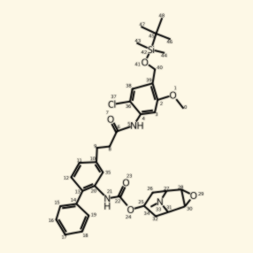 COc1cc(NC(=O)CCc2ccc(-c3ccccc3)c(NC(=O)OC3CC4C5OC5C(C3)N4C)c2)c(Cl)cc1CO[Si](C)(C)C(C)(C)C